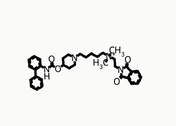 C[N+](C)(CCCCCN1CCC(OC(=O)Nc2ccccc2-c2ccccc2)CC1)CCN1C(=O)c2ccccc2C1=O